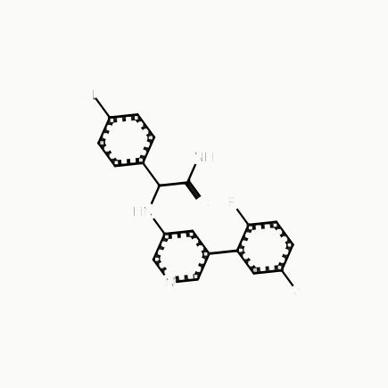 NC(=O)C(Nc1cncc(-c2cc(Cl)ccc2F)c1)c1ccc(Cl)cc1